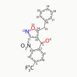 O=C(c1ccc(C(F)(F)F)cc1[N+](=O)[O-])c1cnoc1Cc1ccccc1